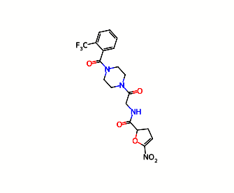 O=C(NCC(=O)N1CCN(C(=O)c2ccccc2C(F)(F)F)CC1)C1CC=C([N+](=O)[O-])O1